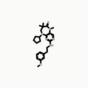 COc1cccc(CCNc2ncc3c(n2)N(C2CCCC2)CC(C)(C)C(=O)N3C)c1